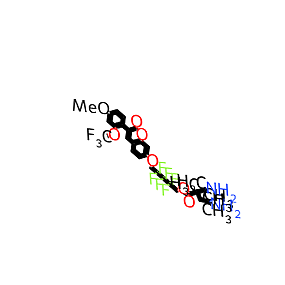 COc1ccc(-c2cc3ccc(OCC(F)(F)C(F)(F)C(F)(F)COC(=O)C(C)(CC(C)(C)N)C(C)(C)N)cc3oc2=O)c(OC(F)(F)F)c1